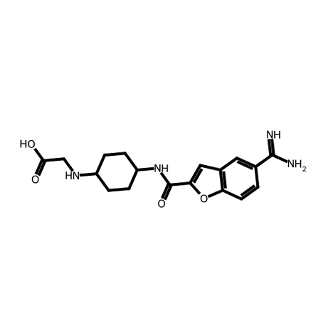 N=C(N)c1ccc2oc(C(=O)NC3CCC(NCC(=O)O)CC3)cc2c1